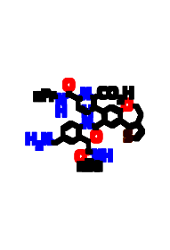 CCCCNC(=O)Cc1cc(CN)ccc1NC(=O)c1cc2c(cc1-c1ccc(C(=O)NCCC)nc1C(=O)O)OCCc1ccsc1-2